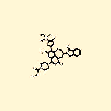 CC(C)[Si](c1sc(-c2c(C(F)(F)F)cc3c(N4C[C@@H](C)N(C(=O)OC(C)(C)C)[C@@H](C)C4)nc(=O)n4c3c2SC[C@@H](N2Cc3ccccc3C2=O)C4)cc1Cl)(C(C)C)C(C)C